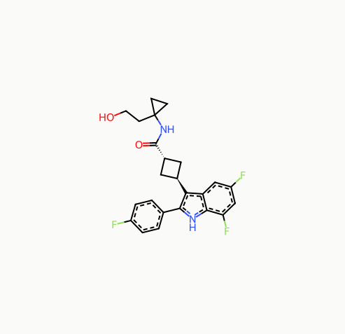 O=C(NC1(CCO)CC1)[C@H]1C[C@H](c2c(-c3ccc(F)cc3)[nH]c3c(F)cc(F)cc32)C1